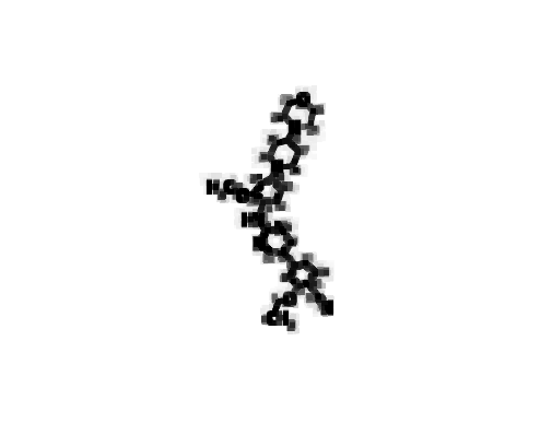 CCOc1cc(-c2cnc(Nc3ccc(N4CCC(N5CCOCC5)CC4)cc3OC)nc2)ccc1C#N